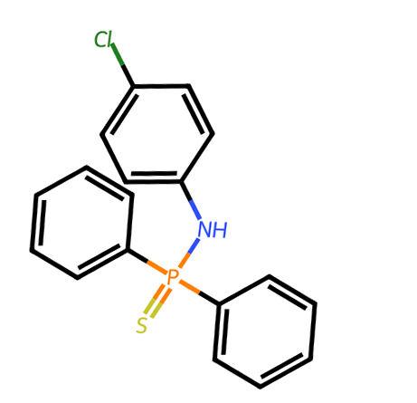 S=P(Nc1ccc(Cl)cc1)(c1ccccc1)c1ccccc1